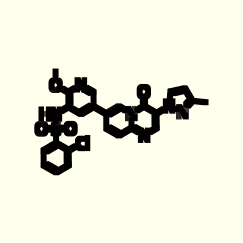 COc1ncc(-c2ccc3ncc(-n4ccc(C)n4)c(=O)n3c2)cc1NS(=O)(=O)c1ccccc1Cl